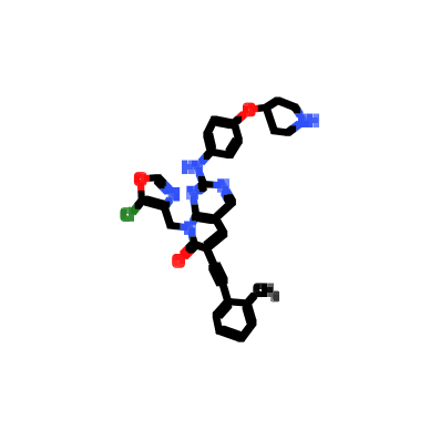 Cc1ccccc1C#Cc1cc2cnc(Nc3ccc(OC4CCNCC4)cc3)nc2n(Cc2ncoc2Cl)c1=O